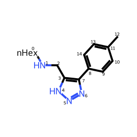 CCCCCCNCc1[nH]nnc1-c1ccc(C)cc1